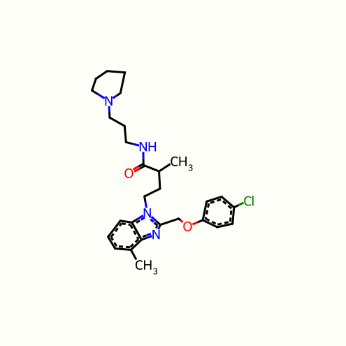 Cc1cccc2c1nc(COc1ccc(Cl)cc1)n2CCC(C)C(=O)NCCCN1CCCCC1